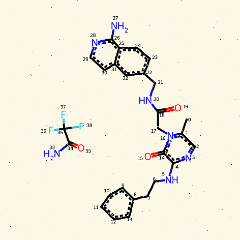 Cc1cnc(NCCc2ccccc2)c(=O)n1CC(=O)NCc1ccc2c(N)nccc2c1.NC(=O)C(F)(F)F